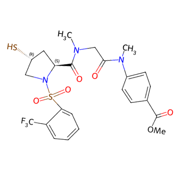 COC(=O)c1ccc(N(C)C(=O)CN(C)C(=O)[C@@H]2C[C@@H](S)CN2S(=O)(=O)c2ccccc2C(F)(F)F)cc1